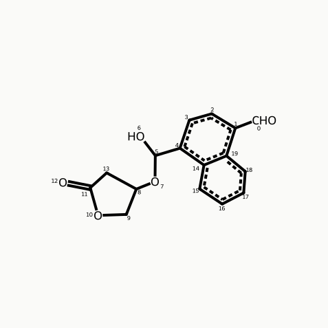 O=Cc1ccc(C(O)OC2COC(=O)C2)c2ccccc12